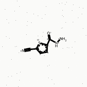 N#Cc1ccc(C(=O)NN)s1